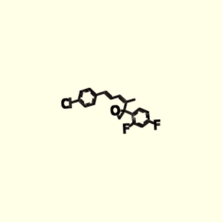 CC(=CC=Cc1ccc(Cl)cc1)C1(c2ccc(F)cc2F)CO1